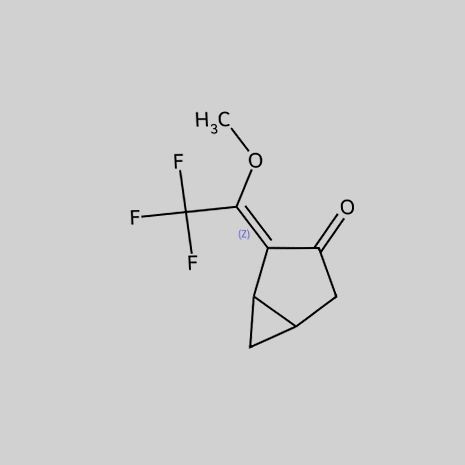 CO/C(=C1\C(=O)CC2CC12)C(F)(F)F